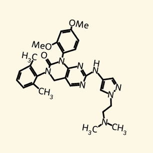 COc1ccc(N2C(=O)N(c3c(C)cccc3C)Cc3cnc(Nc4cnn(CCN(C)C)c4)nc32)c(OC)c1